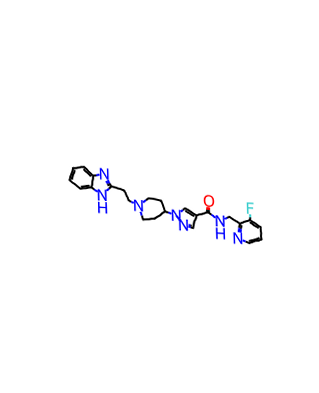 O=C(NCc1ncccc1F)c1cnn(C2CCN(CCc3nc4ccccc4[nH]3)CC2)c1